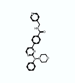 O=C(NCc1ccncc1)c1ccc(-c2ccnc(N(c3ccccc3)N3CCOCC3)n2)cc1